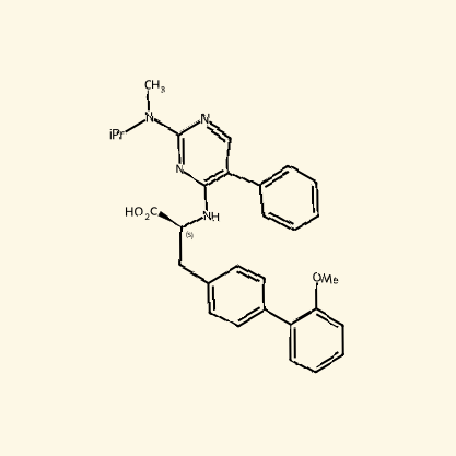 COc1ccccc1-c1ccc(C[C@H](Nc2nc(N(C)C(C)C)ncc2-c2ccccc2)C(=O)O)cc1